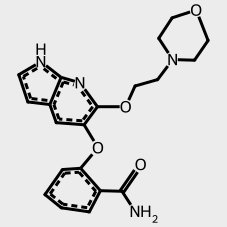 NC(=O)c1ccccc1Oc1cc2cc[nH]c2nc1OCCN1CCOCC1